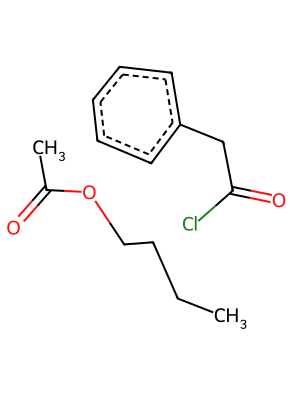 CCCCOC(C)=O.O=C(Cl)Cc1ccccc1